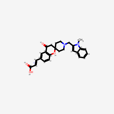 Cn1c(CN2CCC3(CC2)CC(=O)c2cc(/C=C/C(=O)O)ccc2O3)cc2ccccc21